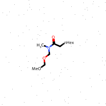 CCCCCCCC(=O)N(C)COCOC